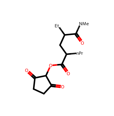 CCCC(CC(CC)C(=O)NC)C(=O)OC1C(=O)CCC1=O